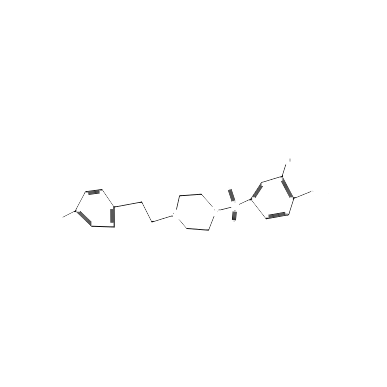 Cc1ccc(S(=O)(=O)N2CCN(CCc3ccc(F)cc3)CC2)cc1Br